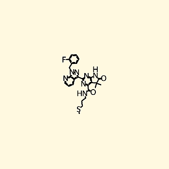 CSCCCNC(=O)c1nc(-c2nn(Cc3ccccc3F)c3ncccc23)nc2c1C(C)(C)C(=O)N2